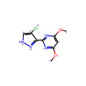 COc1cc(OC)nc(-c2n[nH]cc2Cl)n1